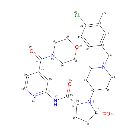 Cc1cc(CN2CCC(N3C(=O)CC[C@@H]3C(=O)Nc3cc(C(=O)N4CCOCC4)ccn3)CC2)ccc1Cl